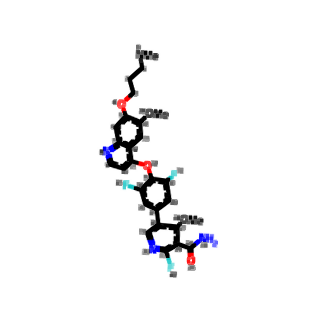 CNCCCOc1cc2nccc(Oc3c(F)cc(-c4cnc(F)c(C(N)=O)c4OC)cc3F)c2cc1OC